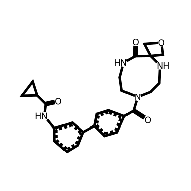 O=C(Nc1cccc(-c2ccc(C(=O)N3CCNC(=O)C4(COC4)NCC3)cc2)c1)C1CC1